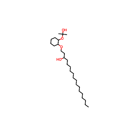 CCCCCCCCCCCCCCCC(O)CCOC1CCCCC1OC(C)(C)O